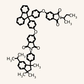 CCC(C)N1C(=O)c2ccc(Oc3ccc(C4(c5ccc(Oc6ccc7c(c6)C(=O)N(c6ccc(C8(C)CC(C)(C)c9ccc(C(C)C)cc98)cc6)C7=O)cc5)c5ccccc5-c5ccccc54)cc3)cc2C1=O